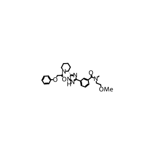 COCCN(C)C(=O)c1cccc(-c2n[nH]c([C@H]3CCCCN3C(=O)COc3ccccc3)n2)c1